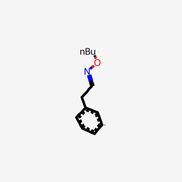 CCCCON=CCc1c[c]ccc1